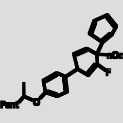 CCCCCCCCC1(c2ccccc2)C=CC(c2ccc(OC(C)CCCCC)cc2)C=C1F